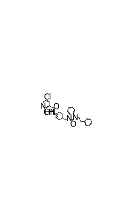 Cc1ncc(Cl)cc1C(=O)N[C@H]1CC[C@H](Cn2c(=O)n(CCc3ccccc3)c3ccccc32)CC1